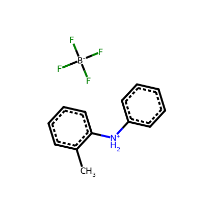 Cc1ccccc1[NH2+]c1ccccc1.F[B-](F)(F)F